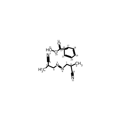 CC(C#N)CN=NCC(C)C#N.O=C(OO)c1ccccc1